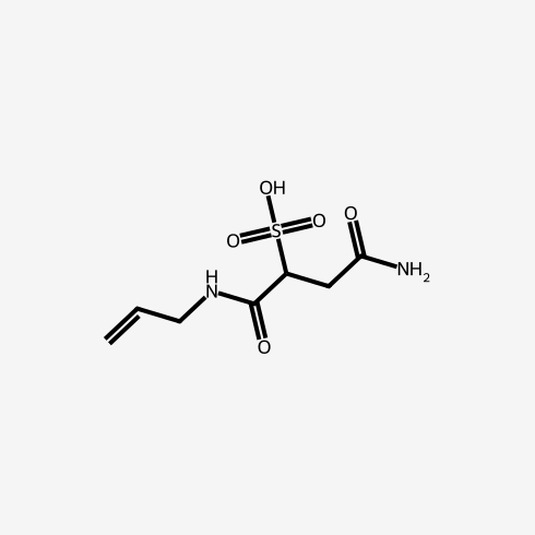 C=CCNC(=O)C(CC(N)=O)S(=O)(=O)O